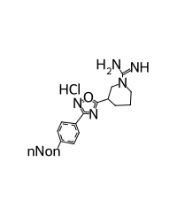 CCCCCCCCCc1ccc(-c2noc(C3CCCN(C(=N)N)C3)n2)cc1.Cl